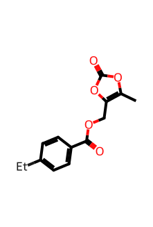 CCc1ccc(C(=O)OCc2oc(=O)oc2C)cc1